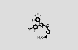 COc1ccc(-n2cc(C3OC3N3CC[C@H](C4CC4C)C3)nc2-c2ccc(C#N)c(F)c2)cc1F